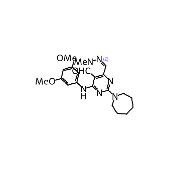 CN/N=C\c1nc(N2CCCCCC2)nc(Nc2cc(OC)cc(OC)c2)c1C=O